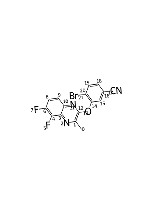 Cc1nc2c(F)c(F)ccc2nc1Oc1cc(C#N)ccc1Br